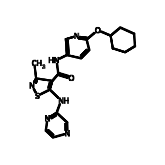 Cc1nsc(Nc2cnccn2)c1C(=O)Nc1ccc(OC2CCCCC2)nc1